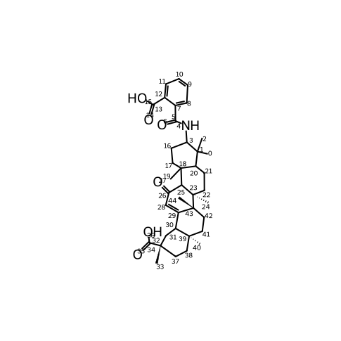 CC1(C)C(NC(=O)c2ccccc2C(=O)O)CCC2(C)C1CC[C@]1(C)C2C(=O)C=C2C3C[C@@](C)(C(=O)O)CC[C@]3(C)CC[C@]21C